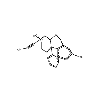 Oc1ccc2c(c1)CCC1C[C@@](O)(C#CCl)CCC21c1ccccc1